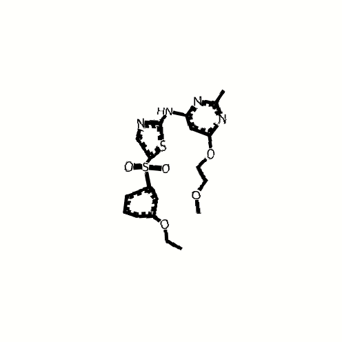 CCOc1cccc(S(=O)(=O)c2cnc(Nc3cc(OCCOC)nc(C)n3)s2)c1